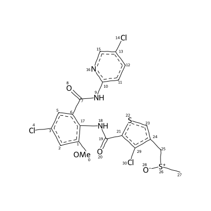 COc1cc(Cl)cc(C(=O)Nc2ccc(Cl)cn2)c1NC(=O)c1scc(C[S+](C)[O-])c1Cl